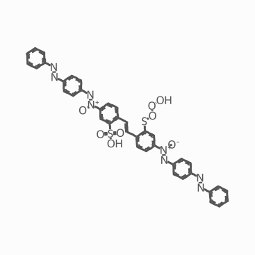 O=S(=O)(O)c1cc([N+]([O-])=Nc2ccc(N=Nc3ccccc3)cc2)ccc1C=Cc1ccc([N+]([O-])=Nc2ccc(N=Nc3ccccc3)cc2)cc1SOOO